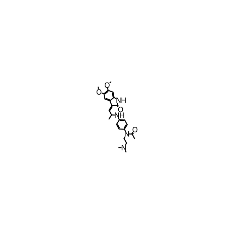 COc1cc2c(cc1OC)C(=CC(C)Nc1ccc(N(CCN(C)C)C(C)=O)cc1)C(=O)N2